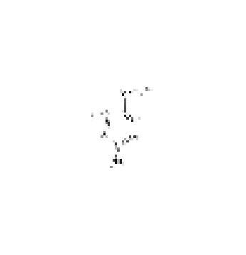 Nc1ccc(OC(=O)[O-])cc1.[Cu+]